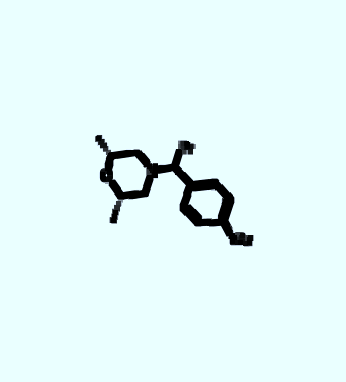 CC(C)C(c1ccc(C(C)(C)C)cc1)N1C[C@@H](C)O[C@@H](C)C1